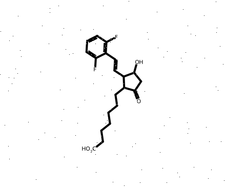 O=C(O)CCCCCCC1C(=O)CC(O)C1C=Cc1c(F)cccc1F